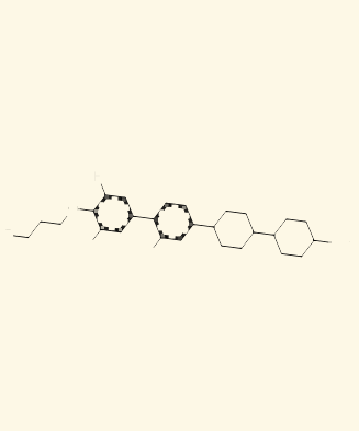 CCCC1CCC(C2CCC(c3ccc(-c4cc(F)c(OCCCF)c(F)c4)c(F)c3)CC2)CC1